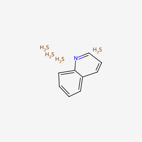 S.S.S.S.c1ccc2ncccc2c1